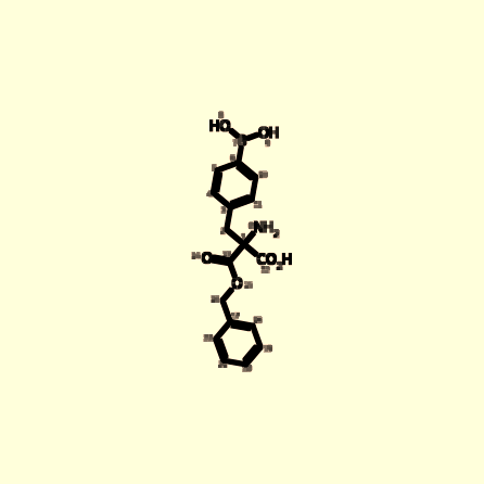 NC(Cc1ccc(B(O)O)cc1)(C(=O)O)C(=O)OCc1ccccc1